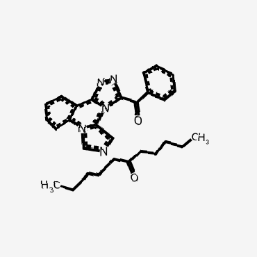 CCCCCC(=O)CCCCC.O=C(c1ccccc1)c1nnc2c3ccccc3n3cncc3n12